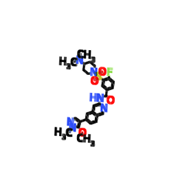 COc1c(-c2ccc3cnc(NC(=O)c4ccc(F)c(S(=O)(=O)N5CCC(N(C)C)CC5)c4)cc3c2)cnn1C